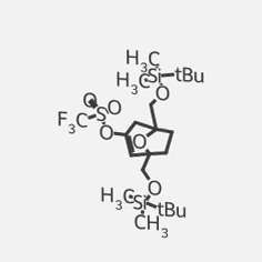 CC(C)(C)[Si](C)(C)OCC12C=C(OS(=O)(=O)C(F)(F)F)CC(CO[Si](C)(C)C(C)(C)C)(CC1)O2